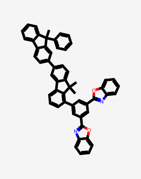 CC1(C)c2ccc(-c3ccc4c(c3)C(C)(c3ccccc3)c3ccccc3-4)cc2-c2cccc(-c3cc(-c4nc5ccccc5o4)cc(-c4nc5ccccc5o4)c3)c21